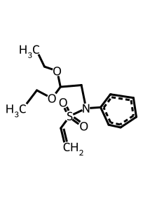 C=CS(=O)(=O)N(CC(OCC)OCC)c1ccccc1